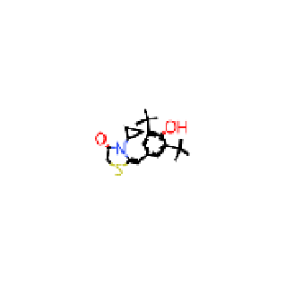 CC(C)(C)c1cc(C=C2SCC(=O)N2C2CC2)cc(C(C)(C)C)c1O